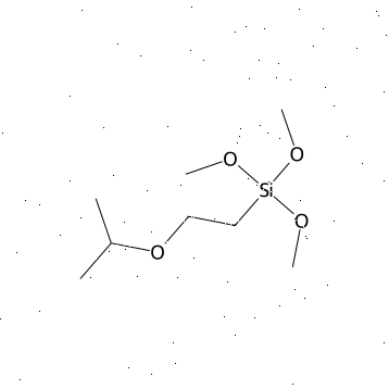 CO[Si](CCOC(C)C)(OC)OC